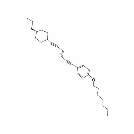 CCCCCCCOc1ccc(C#C/C=C/C#C[C@H]2CC[C@H](CCC)CC2)cc1